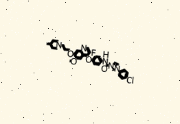 COc1cc2c(Oc3ccc(NC(=O)N4C=CN(c5ccc(Cl)cc5)C4)cc3F)ccnc2cc1OCCCN1CCC(C)CC1